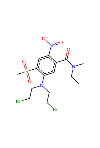 CCN(C)C(=O)c1cc(N(CCBr)CCBr)c(S(C)(=O)=O)cc1[N+](=O)[O-]